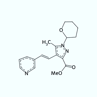 COC(=O)c1nn(C2CCCCO2)c(C)c1C=Cc1cccnc1